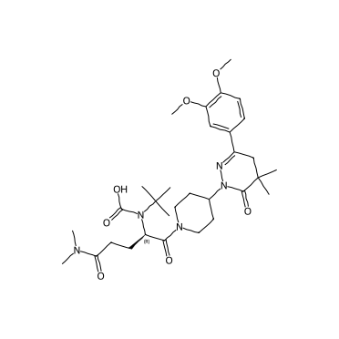 COc1ccc(C2=NN(C3CCN(C(=O)[C@@H](CCC(=O)N(C)C)N(C(=O)O)C(C)(C)C)CC3)C(=O)C(C)(C)C2)cc1OC